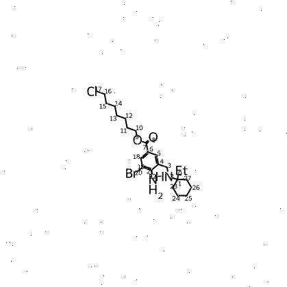 CCC1(NCc2cc(C(=O)OCCCCCCCCl)cc(Br)c2N)CCCCC1